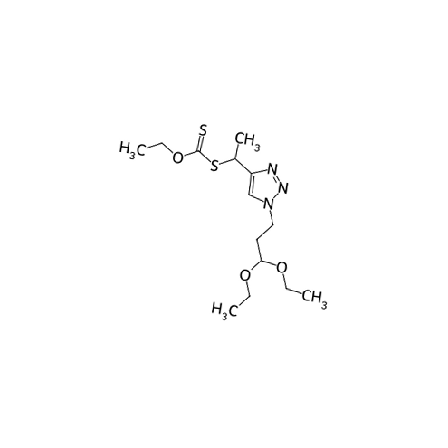 CCOC(=S)SC(C)c1cn(CCC(OCC)OCC)nn1